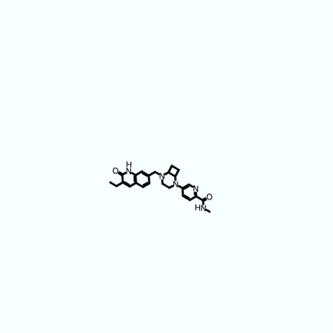 CCc1cc2ccc(CN3CCN(c4ccc(C(=O)NC)nc4)C4CCC43)cc2[nH]c1=O